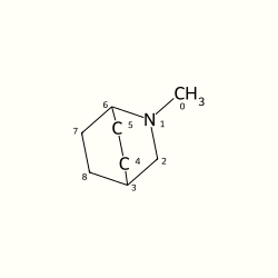 CN1CC2CCC1CC2